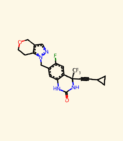 O=C1Nc2cc(Cn3ncc4c3CCOC4)c(F)cc2[C@@](C#CC2CC2)(C(F)(F)F)N1